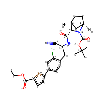 CCOC(=O)c1ccc(-c2ccc(C[C@@H](C#N)NC(=O)[C@@H]3[C@H]4CC[C@H](C4)N3C(=O)OC(C)(C)C)c(F)c2)s1